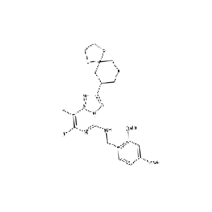 COc1ccc(CNc2nc(Cl)c(C)c3nc(C4CCCC5(C4)OCCO5)nn23)c(OC)c1